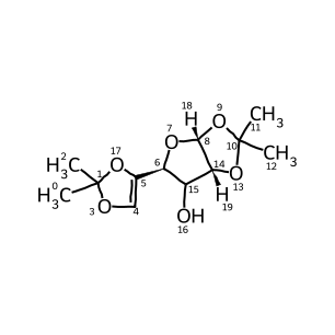 CC1(C)OC=C([C@H]2O[C@@H]3OC(C)(C)O[C@@H]3C2O)O1